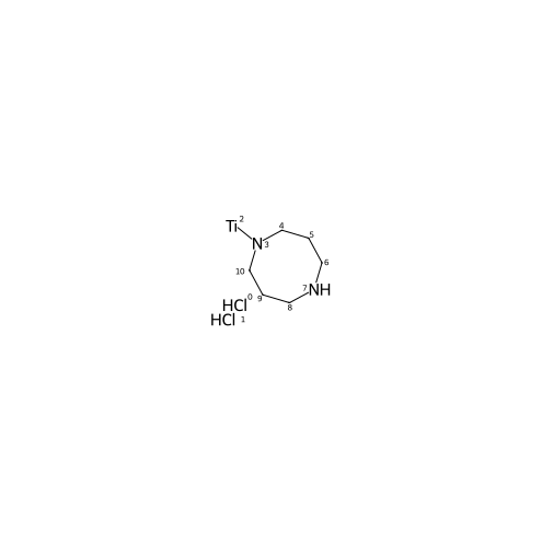 Cl.Cl.[Ti][N]1CCCNCCC1